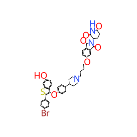 O=C1CCC(N2C(=O)c3ccc(OCCCCN4CCC(c5ccc(Oc6c(-c7ccc(Br)cc7)sc7cc(O)ccc67)cc5)CC4)cc3C2=O)C(=O)N1